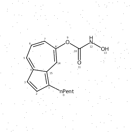 CCCCCc1ccc2cccc(OC(=O)NO)cc1-2